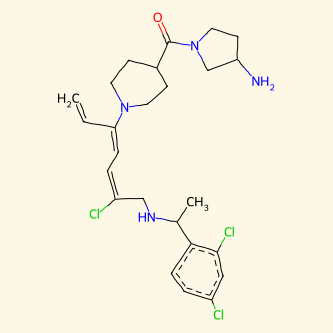 C=C/C(=C\C=C(\Cl)CNC(C)c1ccc(Cl)cc1Cl)N1CCC(C(=O)N2CCC(N)C2)CC1